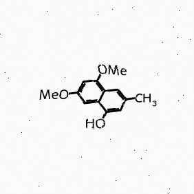 COc1cc(OC)c2cc(C)cc(O)c2c1